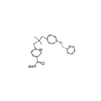 COC(=O)c1ccc(CC(C)(C)Cc2ccc(OCc3ccccn3)cc2)nc1